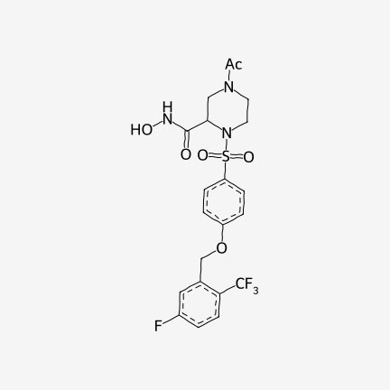 CC(=O)N1CCN(S(=O)(=O)c2ccc(OCc3cc(F)ccc3C(F)(F)F)cc2)C(C(=O)NO)C1